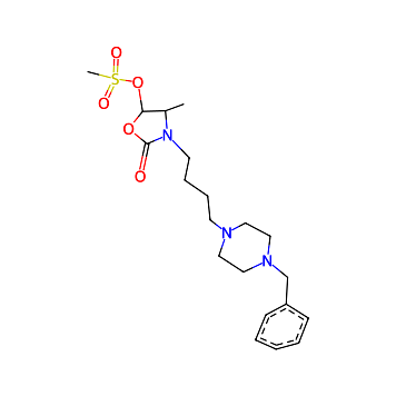 CC1C(OS(C)(=O)=O)OC(=O)N1CCCCN1CCN(Cc2ccccc2)CC1